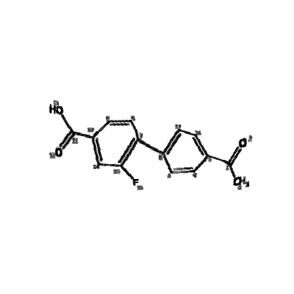 CC(=O)c1ccc(-c2ccc(C(=O)O)cc2F)cc1